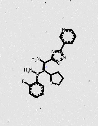 N/C(=C(/C1CCCO1)N(N)c1ccccc1F)c1nc(-c2cccnc2)no1